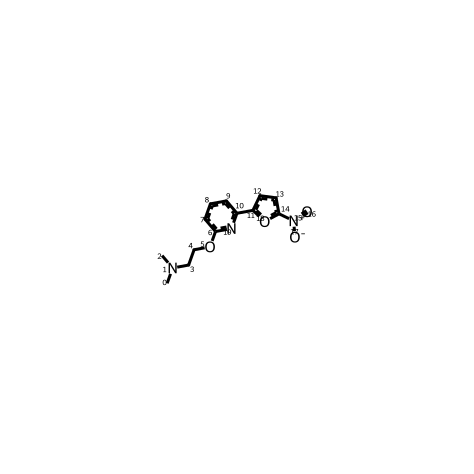 CN(C)CCOc1cccc(-c2ccc([N+](=O)[O-])o2)n1